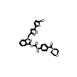 O=C(Nc1ccc(C(=O)N2CCOCC2)cc1)Oc1nn(Cc2cc(-c3ccc(Cl)s3)on2)c2ccccc12